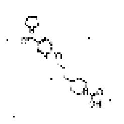 O=C(O)N1CCC(CCCOc2ccc(C(=O)N3CCCC3)cn2)CC1